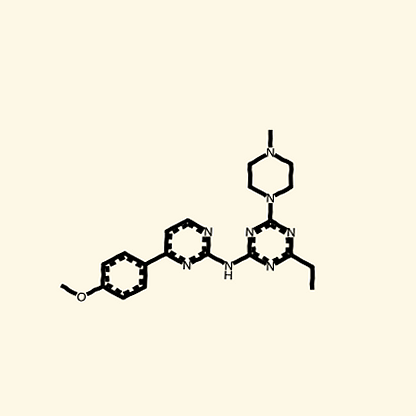 CCc1nc(Nc2nccc(-c3ccc(OC)cc3)n2)nc(N2CCN(C)CC2)n1